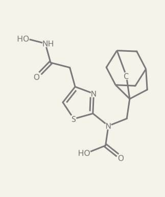 O=C(Cc1csc(N(CC23CC4CC(CC2C4)C3)C(=O)O)n1)NO